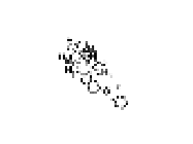 Cc1cc2ccc(OCc3ccccc3F)cc2n1C(C)(CO[Si](C)(C)C(C)(C)C)C(N)=O